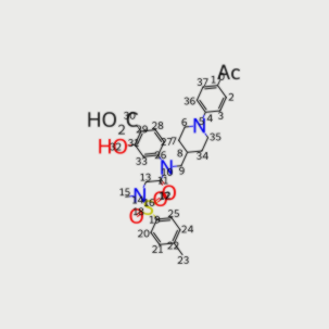 CC(=O)c1ccc(N2CCC(CN(C(=O)CN(C)S(=O)(=O)c3ccc(C)cc3)c3ccc(C(=O)O)c(O)c3)CC2)cc1